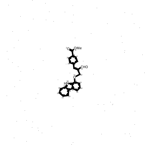 COC(=O)c1ccc(C=C(C=O)COc2cccc3c2[nH]c2ccccc23)cc1